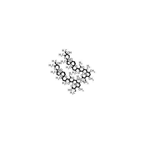 CC[C@@H](C(=O)O)[C@@H]1O[C@@H]([C@@H](C)[C@H](O)[C@H](C)C(=O)[C@H](CC)[C@H]2O[C@]3(C=C[C@@H](O)[C@]4(CC[C@@](C)([C@H]5CC[C@](O)(CC)[C@H](C)O5)O4)O3)[C@H](C)C[C@@H]2C)[C@@H](C)C[C@@H]1C.CC[C@@H](C(=O)O)[C@@H]1O[C@@H]([C@@H](C)[C@H](O)[C@H](C)C(=O)[C@H](CC)[C@H]2O[C@]3(C=C[C@@H](O)[C@]4(CC[C@@](C)([C@H]5CC[C@](O)(CC)[C@H](C)O5)O4)O3)[C@H](C)C[C@@H]2C)[C@@H](C)C[C@@H]1C